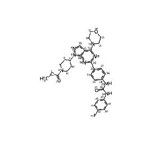 COC(=O)N1CCC(n2ncc3c(N4CCOCC4)nc(-c4ccc(NC(=O)Nc5ccc(F)cc5)cc4)nc32)CC1